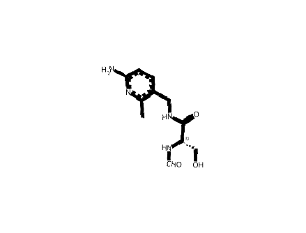 Cc1nc(N)ccc1CNC(=O)[C@H](CO)NC=O